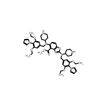 CCOc1cc(CN(c2nc3c(C(=O)OC)c(N(Cc4cc(OCC)c(-n5cccc5)c(OCC)c4)C4CCNCC4)ccc3o2)C2CCNCC2)cc(OCC)c1-n1cccc1